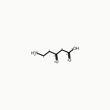 NCCC(=O)CC(=O)O